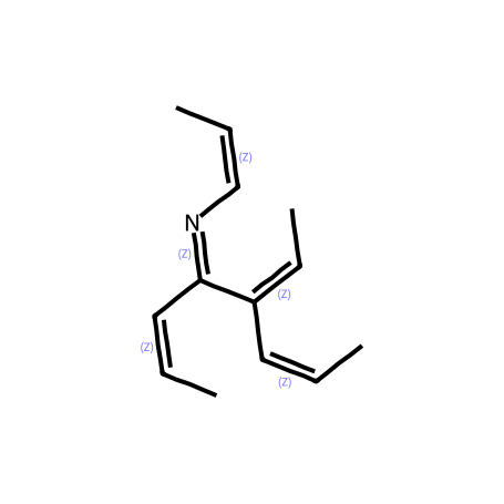 C\C=C/N=C(/C=C\C)C(\C=C/C)=C/C